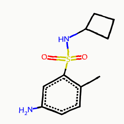 Cc1ccc(N)cc1S(=O)(=O)NC1CCC1